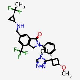 CO[C@H]1C[C@](c2cccc(N3Cc4c(cc(CN[C@@H]5C[C@H]5C(C)(F)F)cc4C(F)(F)F)C3=O)c2)(c2nncn2C)C1